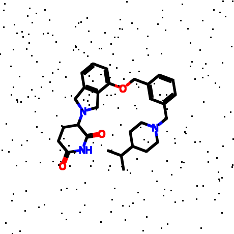 CC(C)C1CCN(Cc2cccc(COc3cccc4c3CN(C3CCC(=O)NC3=O)C4)c2)CC1